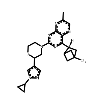 Cc1cnc2c([C@@H]3CC4(C(F)(F)F)CC3C4)nc(N3CCOC(c4cnn(C5CC5)c4)C3)nc2n1